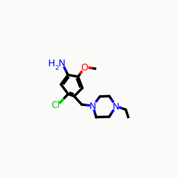 CCN1CCN(Cc2cc(OC)c(N)cc2Cl)CC1